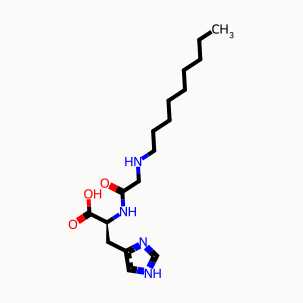 CCCCCCCCCNCC(=O)N[C@@H](Cc1c[nH]cn1)C(=O)O